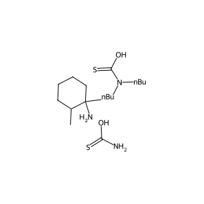 CC1CCCCC1(C)N.CCCCN(CCCC)C(O)=S.NC(O)=S